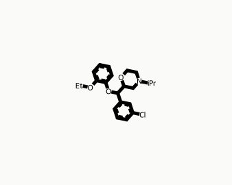 CCOc1ccccc1OC(c1cccc(Cl)c1)C1CN(C(C)C)CCO1